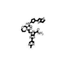 Cc1ncc(-c2nc3c(s2)c(C(N)=O)nn3CC(=O)N2CCCOC[C@H]2C(=O)NC2CCC(c3cc4sccc4s3)C2)cn1